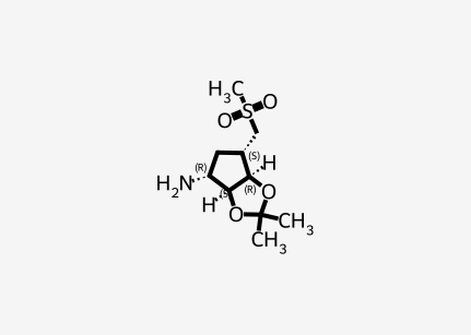 CC1(C)O[C@@H]2[C@@H](CS(C)(=O)=O)C[C@@H](N)[C@@H]2O1